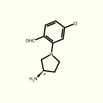 N[C@@H]1CCN(c2cc(Cl)ccc2C=O)C1